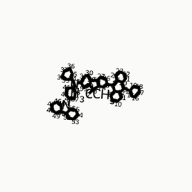 CC1(C)c2cc(-c3c4ccccc4c(-c4ccccc4)c4ccccc34)ccc2-c2ccc(N(c3ccccc3)c3ccc(-n4c5ccccc5c5ccccc54)cc3)cc21